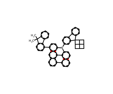 CC1(C)c2ccccc2-c2c(-c3ccc(N(c4ccc5c(c4)C4(c6ccccc6-5)C5CC6CC7CC4C675)c4ccccc4-c4cccc5cccc(-c6ccccc6)c45)cc3)cccc21